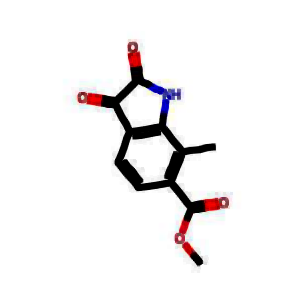 COC(=O)c1ccc2c(c1C)NC(=O)C2=O